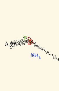 CCCCCCCCCCCCCCCCOS(=O)(=O)C(F)CCCCCCCCC.N